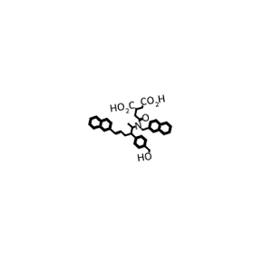 CC(C(C/C=C/c1ccc2ccccc2c1)c1ccc(CO)cc1)N(Cc1ccc2ccccc2c1)C(=O)CC(CC(=O)O)C(=O)O